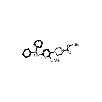 COc1nc(NC(c2ccccc2)c2ccccc2)ccc1N1CCN(C(=O)OC(C)(C)C)CC1